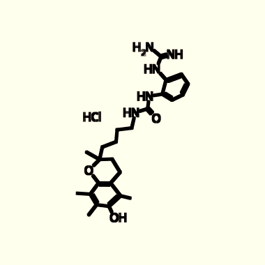 Cc1c(C)c2c(c(C)c1O)CCC(C)(CCCCNC(=O)Nc1ccccc1NC(=N)N)O2.Cl